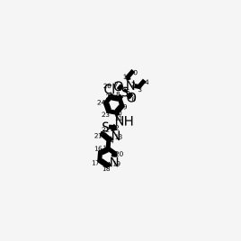 CCN(CC)S(=O)(=O)c1cc(Nc2nc(-c3cccnc3)cs2)ccc1Cl